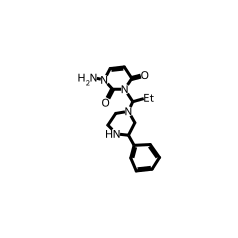 CCC(N1CCNC(c2ccccc2)C1)n1c(=O)ccn(N)c1=O